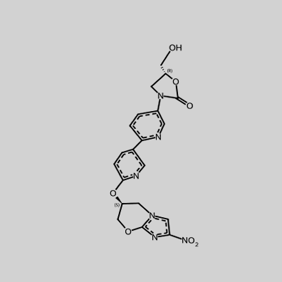 O=C1O[C@@H](CO)CN1c1ccc(-c2ccc(O[C@@H]3COc4nc([N+](=O)[O-])cn4C3)nc2)nc1